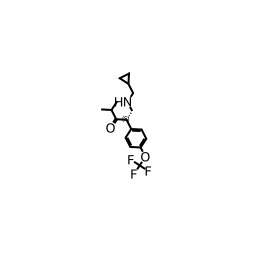 CC(C)C(=O)[C@H](CNCC1CC1)c1ccc(OC(F)(F)F)cc1